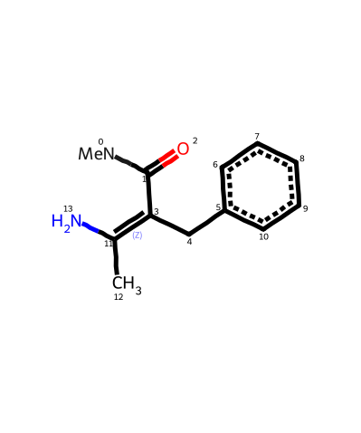 CNC(=O)/C(Cc1ccccc1)=C(/C)N